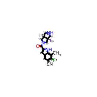 Cc1c(F)c(C#N)cc2cc(C(=O)N3C[C@@H]4CNC[C@]4(I)C3)[nH]c12